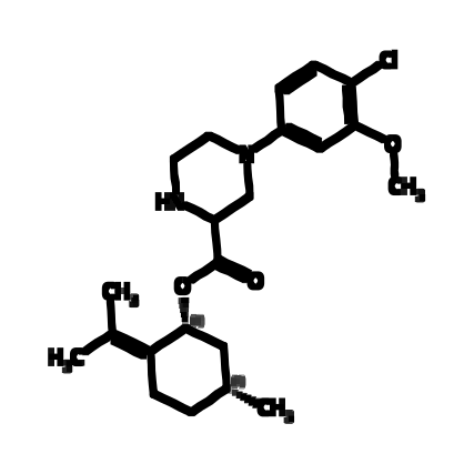 COc1cc(N2CCNC(C(=O)O[C@@H]3C[C@H](C)CCC3=C(C)C)C2)ccc1Cl